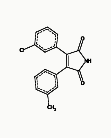 Cc1cccc(C2=C(c3cccc(Cl)c3)C(=O)NC2=O)c1